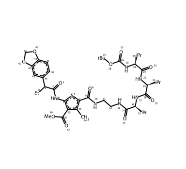 CCC(C(=O)Nc1sc(C(=O)NCCNC(=O)[C@@H](NC(=O)[C@@H](NC(=O)[C@@H](NC(=O)OC(C)(C)C)C(C)C)C(C)C)C(C)C)c(C)c1C(=O)OC)c1ccc2c(c1)OCO2